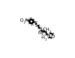 CC(C)(CCN1CCOCC1)C(=O)SCCSSc1ccc([N+](=O)[O-])cc1